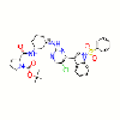 CC(C)(C)OC(=O)N1CCCC1C(=O)NC1CCC[C@@H](Nc2ncc(Cl)c(-c3cn(S(=O)(=O)c4ccccc4)c4ccccc34)n2)C1